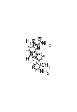 Cc1c(N)cncc1-c1cccc(C2c3nc(C(N)=O)n(C)c3CCN2C)c1C